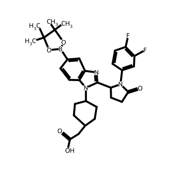 CC1(C)OB(c2ccc3c(c2)nc(C2CCC(=O)N2c2ccc(F)c(F)c2)n3C2CCC(CC(=O)O)CC2)OC1(C)C